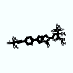 CC(C)(O)C#Cc1ccc(-c2cc3n(c2)C(=O)N(CC[C@@](C)(C(=O)NO)S(C)(=O)=O)C3)cc1